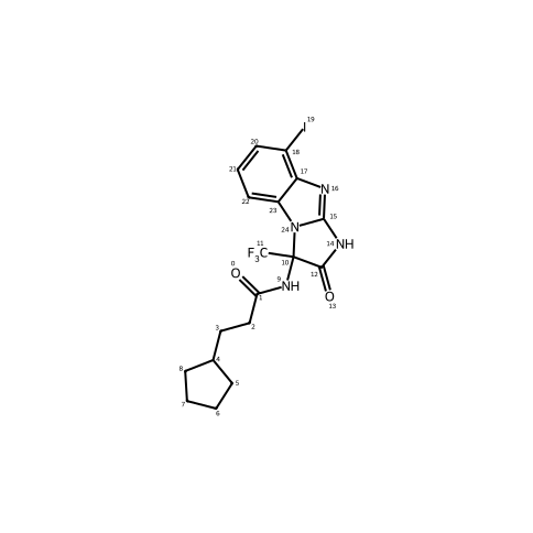 O=C(CCC1CCCC1)NC1(C(F)(F)F)C(=O)Nc2nc3c(I)cccc3n21